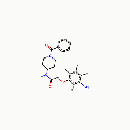 Cc1c(C)c(N)c(C)c(OCC(=O)N(C)C2CCN(C(=O)c3ccccc3)CC2)c1C